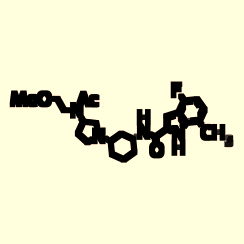 COCCN(C(C)=O)C1CCN([C@@H]2CCC[C@@H](NC(=O)c3cc4c(F)ccc(C)c4[nH]3)C2)C1